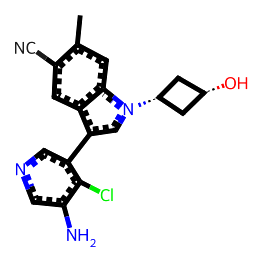 Cc1cc2c(cc1C#N)c(-c1cncc(N)c1Cl)cn2[C@H]1C[C@@H](O)C1